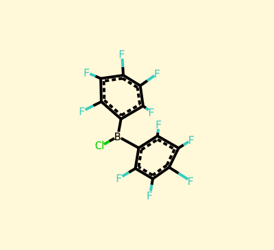 Fc1c(F)c(F)c(B(Cl)c2c(F)c(F)c(F)c(F)c2F)c(F)c1F